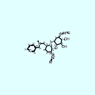 C[C@H]1CC(N=[N+]=[N-])[C@H](O)[C@@H](O)[C@@H]1O[C@H]1O[C@H](CN(C)Cc2ccccc2)CCC1N=[N+]=[N-]